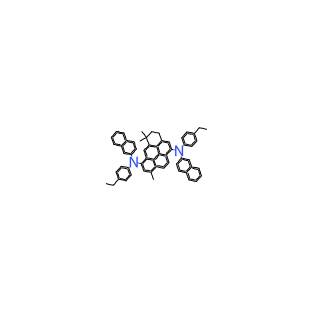 CCc1ccc(N(c2ccc3ccccc3c2)c2cc(C)c3ccc4c(N(c5ccc(CC)cc5)c5ccc6ccccc6c5)cc5c6c(cc2c3c46)C(C)(C)CC5)cc1